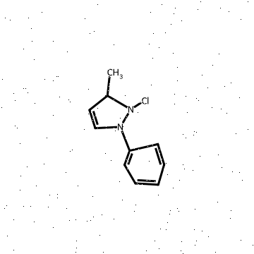 CC1C=CN(c2ccccc2)N1Cl